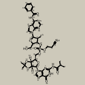 CC(C)C(=O)Nc1nc2c(ncn2[C@@H]2O[C@H](COP(=O)(OCCC#N)OC3C(CO)OC(n4cnc5c(NC(=O)c6ccccc6)ncnc54)C3F)[C@H]3OC(C)(C)O[C@H]32)c(=O)[nH]1